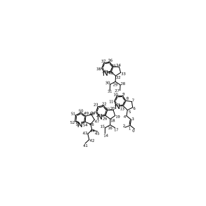 CC(C)=CCC1CCc2cccnc21.CCC(C)C1CCc2cccnc21.CCC(CC)C1CCc2cccnc21.CCCC(C)C1CCc2cccnc21